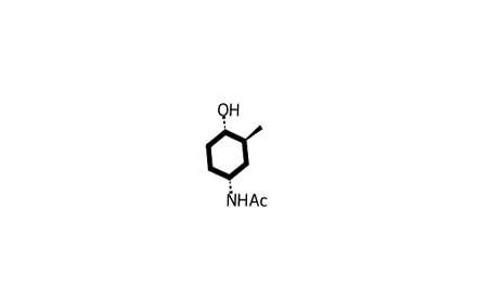 CC(=O)N[C@@H]1CC[C@H](O)[C@@H](C)C1